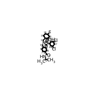 CC(C)NC(=O)c1ccc(CN(Cc2ccc(F)cc2)S(=O)(=O)c2cc(Cl)cc(Cl)c2O)cc1